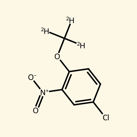 [2H]C([2H])([2H])Oc1ccc(Cl)cc1[N+](=O)[O-]